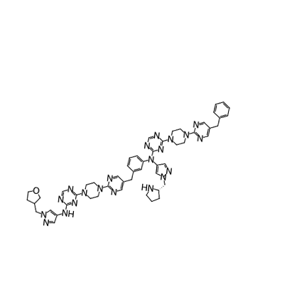 c1ccc(Cc2cnc(N3CCN(c4ncnc(N(c5cccc(Cc6cnc(N7CCN(c8ncnc(Nc9cnn(CC%10CCOC%10)c9)n8)CC7)nc6)c5)c5cnn(C[C@@H]6CCCN6)c5)n4)CC3)nc2)cc1